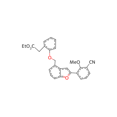 CCOC(=O)Cc1ccccc1OCc1cccc2oc(-c3cccc(C#N)c3OC)cc12